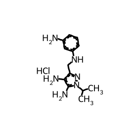 CC(C)n1nc(CNc2cccc(N)c2)c(N)c1N.Cl